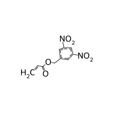 C=CC(=O)OCc1cc([N+](=O)[O-])cc([N+](=O)[O-])c1